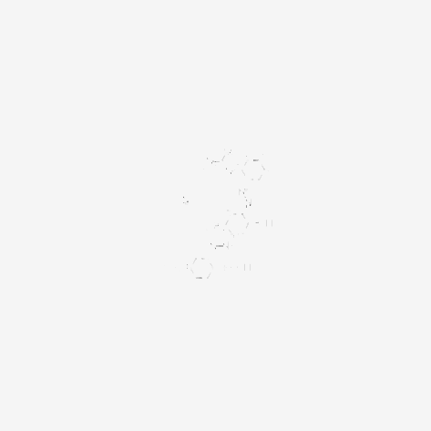 Cc1cc(N=Nc2cc(S(=O)(=O)O)ccc2S(=O)(=O)O)c(C)cc1N=Nc1ccccc1NC(N)=O.N